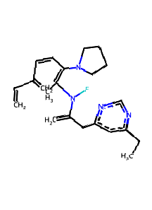 C=CC(=C)/C=C\C(=C(/C)N(F)C(=C)Cc1cc(CC)ncn1)N1CCCC1